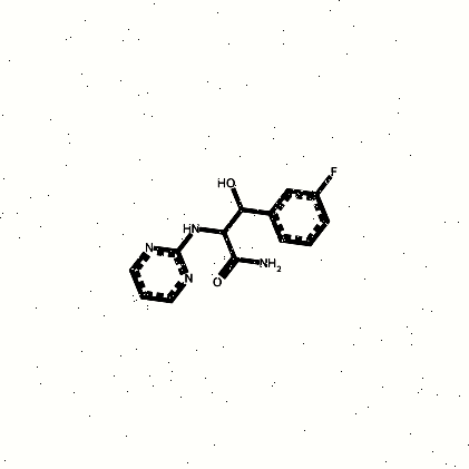 NC(=O)C(Nc1ncccn1)C(O)c1cccc(F)c1